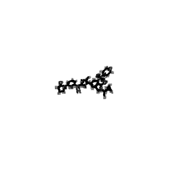 Cc1nc(Nc2cccc(N3CCCC3=O)n2)sc1-c1cc2c(c(S(=O)(=O)N3CCOCC3)c1)C(=O)N(C(C)C1CC1)C2